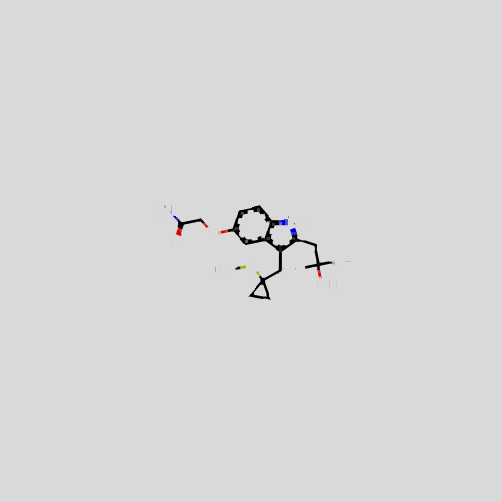 CC(C)(O)Cc1[nH]c2ccc(OCC(N)=O)cc2c1CC1(SC(C)(C)C)CC1